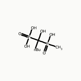 CCCCC(O)(P(C)(=O)O)P(=O)(O)O